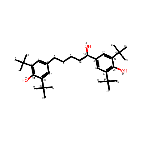 CC(C)(C)c1cc(CCCCC(O)c2cc(C(C)(C)C)c(O)c(C(C)(C)C)c2)cc(C(C)(C)C)c1O